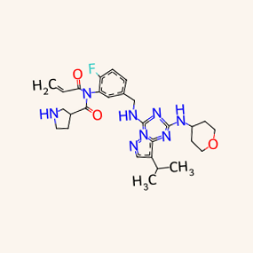 C=CC(=O)N(C(=O)C1CCNC1)c1cc(CNc2nc(NC3CCOCC3)nc3c(C(C)C)cnn23)ccc1F